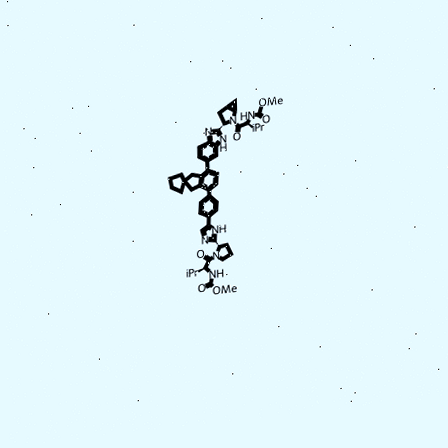 COC(=O)N[C@H](C(=O)N1CCC[C@H]1c1ncc(-c2ccc(-c3ccc(-c4ccc5nc([C@@H]6CC7CC7N6C(=O)[C@@H](NC(=O)OC)C(C)C)[nH]c5c4)c4c3CC3(CCCC3)C4)cc2)[nH]1)C(C)C